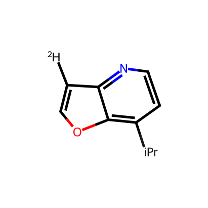 [2H]c1coc2c(C(C)C)ccnc12